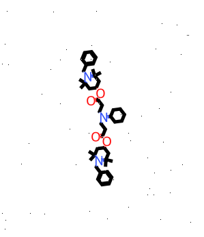 CC1(C)CC(OC(=O)CCN(CCC(=O)OC2CC(C)(C)N(Cc3ccccc3)C(C)(C)C2)C2CCCCC2)CC(C)(C)N1Cc1ccccc1